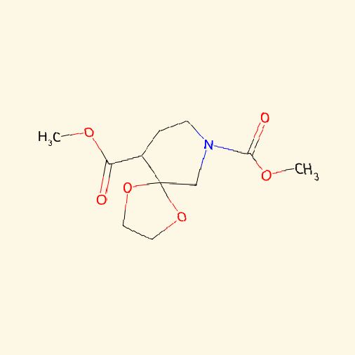 COC(=O)C1CCN(C(=O)OC)CC12OCCO2